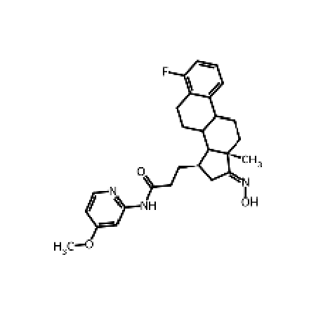 COc1ccnc(NC(=O)CC[C@@H]2C/C(=N\O)[C@@]3(C)CCC4c5cccc(F)c5CCC4C23)c1